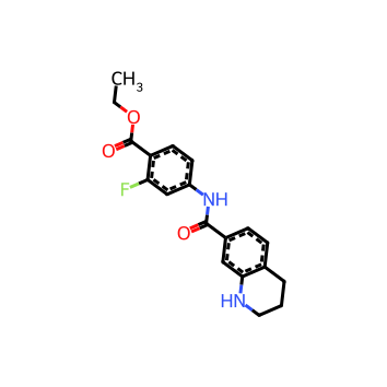 CCOC(=O)c1ccc(NC(=O)c2ccc3c(c2)NCCC3)cc1F